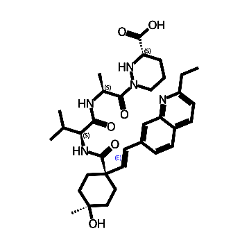 CCc1ccc2ccc(/C=C/[C@]3(C(=O)N[C@H](C(=O)N[C@@H](C)C(=O)N4CCC[C@@H](C(=O)O)N4)C(C)C)CC[C@@](C)(O)CC3)cc2n1